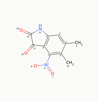 Cc1cc2c(c([N+](=O)[O-])c1C)C(=O)C(=O)N2